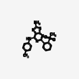 CS(=O)(=O)c1ccccc1-c1nc(Nc2ccc(C(F)(F)F)cc2)c2nc(N)sc2n1